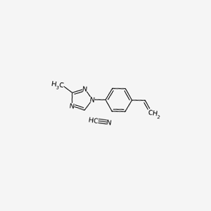 C#N.C=Cc1ccc(-n2cnc(C)n2)cc1